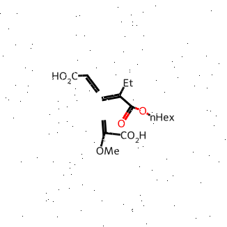 C=C(CC)C(=O)OCCCCCC.C=C(OC)C(=O)O.C=CC(=O)O